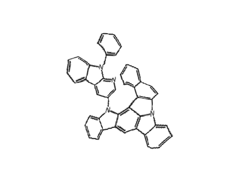 c1ccc(-n2c3ccccc3c3cc(-n4c5ccccc5c5cc6c7ccccc7n7c8ccc9ccccc9c8c(c54)c67)cnc32)cc1